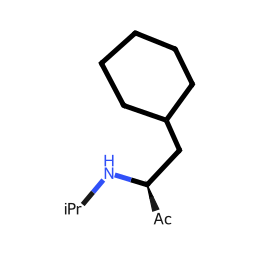 CC(=O)[C@H](CC1CCCCC1)NC(C)C